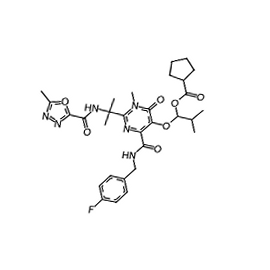 Cc1nnc(C(=O)NC(C)(C)c2nc(C(=O)NCc3ccc(F)cc3)c(OC(OC(=O)C3CCCC3)C(C)C)c(=O)n2C)o1